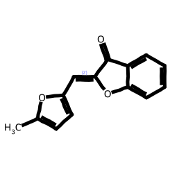 Cc1ccc(/C=C2\Oc3ccccc3C2=O)o1